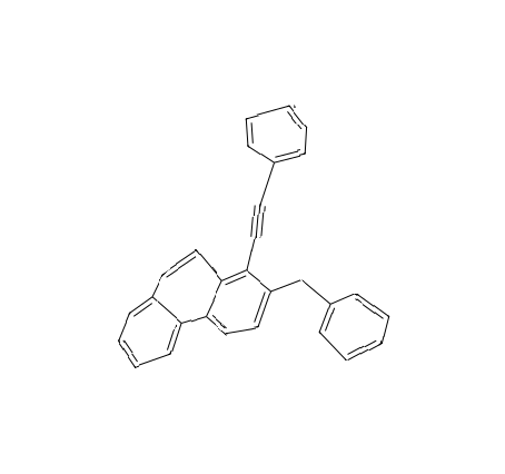 C(#Cc1c(Cc2ccccc2)ccc2c1ccc1ccccc12)c1cc[c]cc1